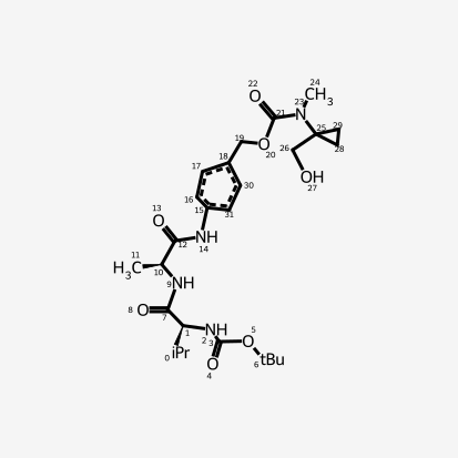 CC(C)[C@H](NC(=O)OC(C)(C)C)C(=O)N[C@@H](C)C(=O)Nc1ccc(COC(=O)N(C)C2(CO)CC2)cc1